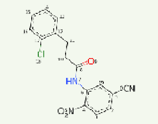 N#Cc1ccc([N+](=O)[O-])c(NC(=O)CCc2ccccc2Cl)c1